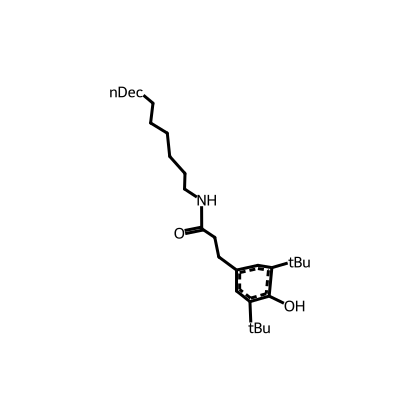 CCCCCCCCCCCCCCCCNC(=O)CCc1cc(C(C)(C)C)c(O)c(C(C)(C)C)c1